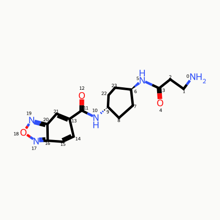 NCCC(=O)N[C@H]1CC[C@H](NC(=O)c2ccc3nonc3c2)CC1